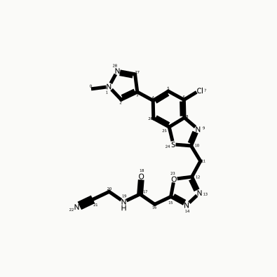 Cn1cc(-c2cc(Cl)c3nc(Cc4nnc(CC(=O)NCC#N)o4)sc3c2)cn1